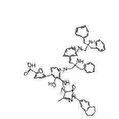 CC1=NN(c2ccc3c(c2)CCCC3)C(=O)/C1=N\Nc1cccc(-c2ccc(C(=O)O)o2)c1O.NCC(N)(Cc1ccccc1)Cc1ccccc1.NCC(N)(Cc1ccccc1)Cc1ccccc1